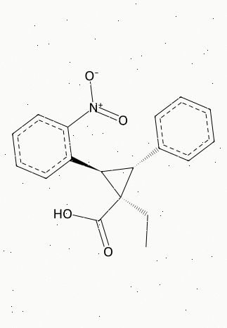 CC[C@@]1(C(=O)O)[C@@H](c2ccccc2)[C@@H]1c1ccccc1[N+](=O)[O-]